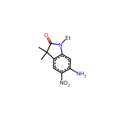 CCN1C(=O)C(C)(C)c2cc([N+](=O)[O-])c(N)cc21